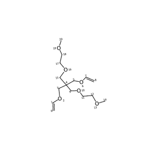 C=COCC(COC=C)(COCCOC)COCCOC